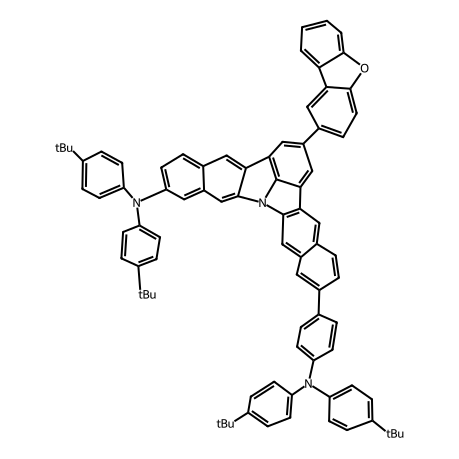 CC(C)(C)c1ccc(N(c2ccc(-c3ccc4cc5c6cc(-c7ccc8oc9ccccc9c8c7)cc7c8cc9ccc(N(c%10ccc(C(C)(C)C)cc%10)c%10ccc(C(C)(C)C)cc%10)cc9cc8n(c5cc4c3)c67)cc2)c2ccc(C(C)(C)C)cc2)cc1